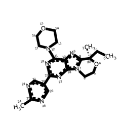 CC[C@@]1(C)OCCn2c1nc1c(N3CCOCC3)nc(-c3cnc(C)nc3)nc12